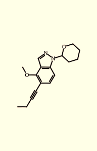 CCC#Cc1ccc2c(cnn2C2CCCCO2)c1OC